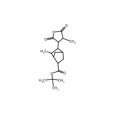 CC1C(=O)OC(=O)C1C1C2CC(C(=O)OC(C)(C)C)C(C2)C1C